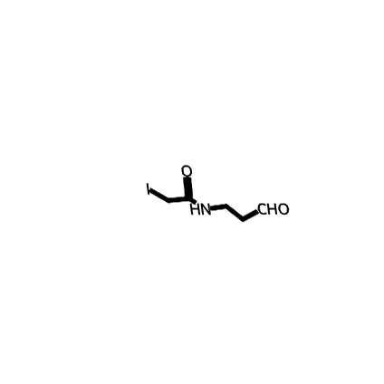 O=CCCNC(=O)CI